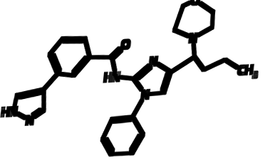 CCCC(c1cn(-c2ccccc2)c(NC(=O)c2cccc(-c3cn[nH]c3)c2)n1)N1CCOCC1